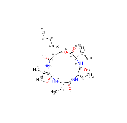 C/C=C1/NC(=O)[C@H](CC)NC(=O)[C@@H](C(C)C)NC(=O)C[C@H](/C=C/CCC)OC(=O)[C@H](C(C)C)NC1=O